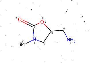 CC(C)N1CC(CN)OC1=O